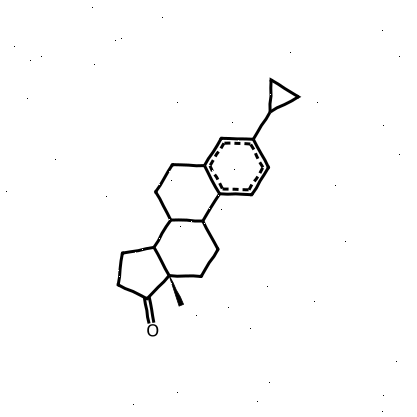 C[C@]12CCC3c4ccc(C5CC5)cc4CCC3C1CCC2=O